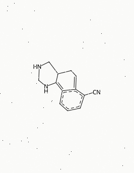 N#Cc1cccc2c1=CCC1CNCNC=21